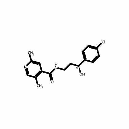 Cc1cc(C(=O)NCC[C@H](O)c2ccc(Cl)cc2)c(C)cn1